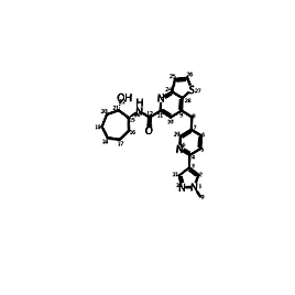 Cn1cc(-c2ccc(Cc3cc(C(=O)N[C@H]4CCCCC[C@@H]4O)nc4ccsc34)cn2)cn1